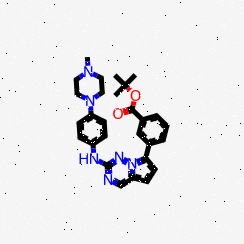 CN1CCN(c2ccc(Nc3ncc4ccc(-c5cccc(C(=O)OC(C)(C)C)c5)n4n3)cc2)CC1